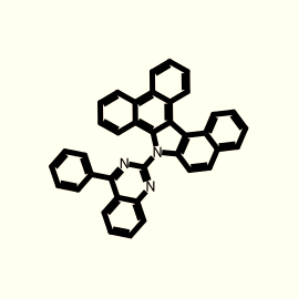 c1ccc(-c2nc(-n3c4ccc5ccccc5c4c4c5ccccc5c5ccccc5c43)nc3ccccc23)cc1